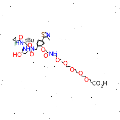 Cc1ncsc1-c1ccc(CNC(=O)[C@@H]2C[C@@H](O)CN2C(=O)[C@@H](NC(=O)C2(F)CC2)C(C)(C)C)c(OCC(=O)NCCOCCOCCOCCOCCOCCC(=O)O)c1